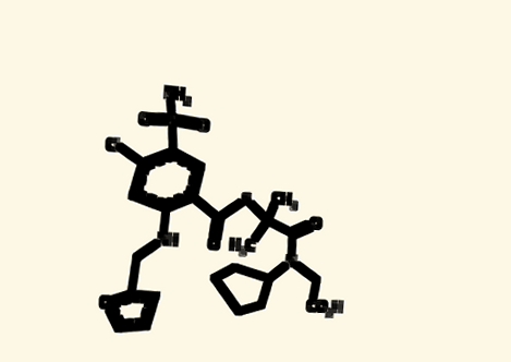 CC(C)(SC(=O)c1cc(S(N)(=O)=O)c(Cl)cc1NCc1ccco1)C(=O)N(CC(=O)O)C1CCCC1